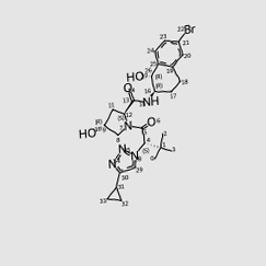 CC(C)(C)[C@@H](C(=O)N1C[C@H](O)C[C@H]1C(=O)N[C@@H]1CCc2cc(Br)ccc2[C@H]1O)n1cc(C2CC2)nn1